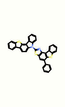 c1ccc(-c2cc3sc(-n4c5ccccc5c5c6sc7ccccc7c6ccc54)nc3c3c2sc2ccccc23)cc1